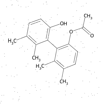 CC(=O)Oc1ccc(C)c(C)c1-c1c(O)ccc(C)c1C